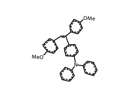 COc1ccc(C=C(c2ccc(OC)cc2)c2ccc(N(c3ccccc3)c3ccccc3)cc2)cc1